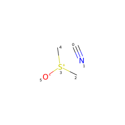 C#N.C[S+](C)[O-]